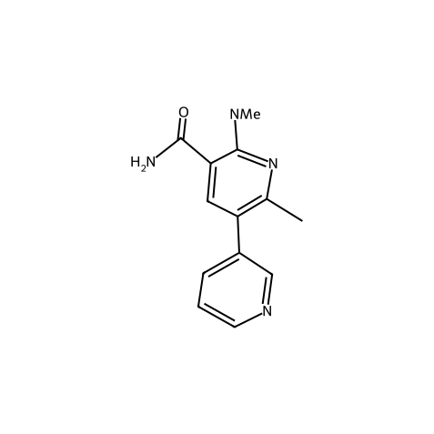 CNc1nc(C)c(-c2cccnc2)cc1C(N)=O